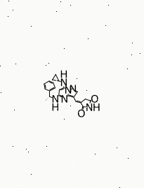 C[C@@H](Nc1cc(NC2CC2)n2ncc(/C=C3\CC(=O)NC3=O)c2n1)c1ccccc1